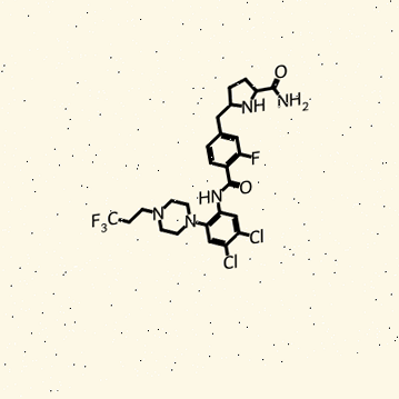 NC(=O)C1CCC(Cc2ccc(C(=O)Nc3cc(Cl)c(Cl)cc3N3CCN(CCC(F)(F)F)CC3)c(F)c2)N1